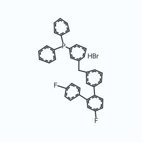 Br.Fc1ccc(-c2cc(F)ccc2-c2cccc(Cc3cccc(P(c4ccccc4)c4ccccc4)c3)c2)cc1